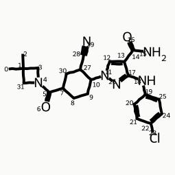 CC1(C)CN(C(=O)C2CCC(n3cc(C(N)=O)c(Nc4ccc(Cl)cc4)n3)C(C#N)C2)C1